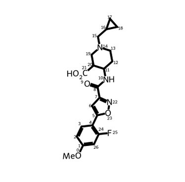 COc1ccc(-c2cc(C(=O)NC3CCN(CC4CC4)CC3C(=O)O)no2)c(F)c1